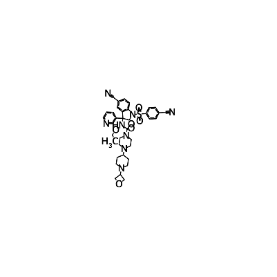 CCOc1ncccc1C1(NC(=O)N2CCN(C3CCN(C4COC4)CC3)CC2)C(=O)N(S(=O)(=O)c2ccc(C#N)cc2)c2ccc(C#N)cc21